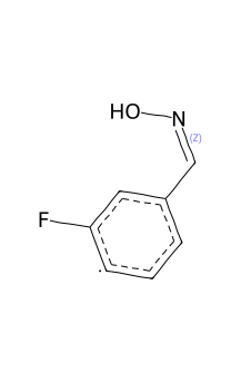 O/N=C\c1cc[c]c(F)c1